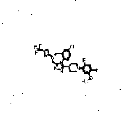 COc1cc(N2CCC(c3nnc4n3-c3ccc(Cl)cc3CN(C3CC(C(F)(F)F)C3)C4)CC2)c(F)cc1F